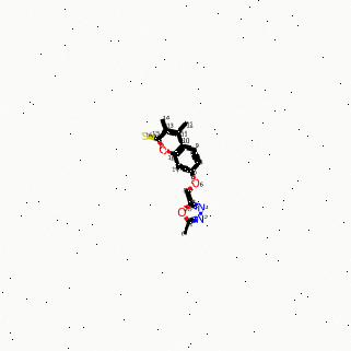 Cc1nnc(COc2ccc3c(C)c(C)c(=S)oc3c2)o1